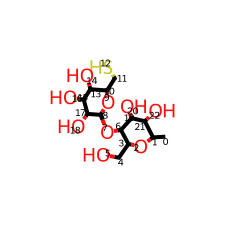 CC1OC(CO)C(OC2OC(CS)C(O)C(O)C2O)C(O)C1O